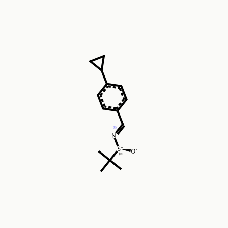 CC(C)(C)[S@+]([O-])/N=C/c1ccc(C2CC2)cc1